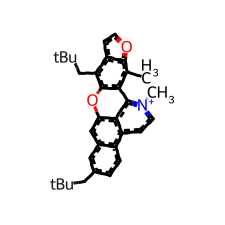 Cc1c2c(c(CC(C)(C)C)c3ccoc13)Oc1cc3cc(CC(C)(C)C)ccc3c3cc[n+](C)c-2c13